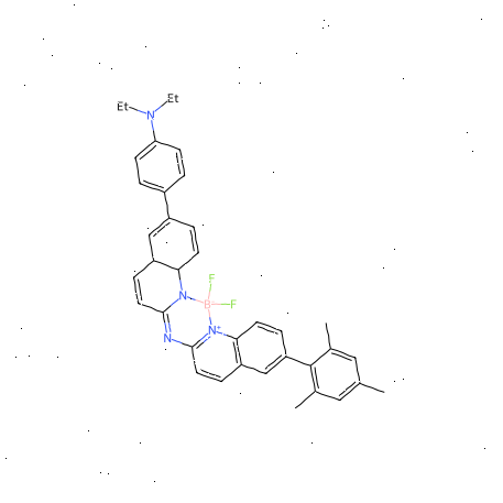 CCN(CC)c1ccc(C2=CC3C=CC4=Nc5ccc6cc(-c7c(C)cc(C)cc7C)ccc6[n+]5[B-](F)(F)N4C3C=C2)cc1